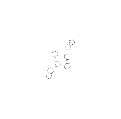 c1ccc(-c2nc(-c3ccc4ccccc4c3)nc(-c3cncc4oc5cc(-c6ccc7ccccc7c6)ccc5c34)n2)cc1